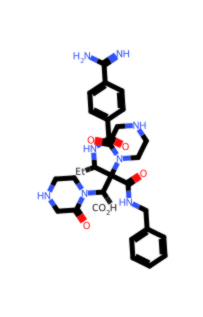 CCC(NC(=O)c1ccc(C(=N)N)cc1)C(C(=O)NCc1ccccc1)(C(C(=O)O)N1CCNCC1=O)N1CCNCC1=O